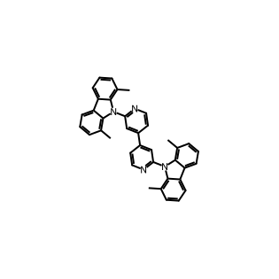 Cc1cccc2c3cccc(C)c3n(-c3cc(-c4ccnc(-n5c6c(C)cccc6c6cccc(C)c65)c4)ccn3)c12